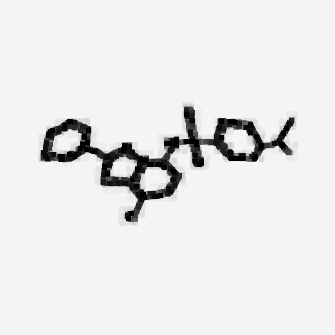 CC(C)c1ccc(S(=O)(=O)Nc2ccc(Cl)c3cc(-c4cccnc4)nn23)cc1